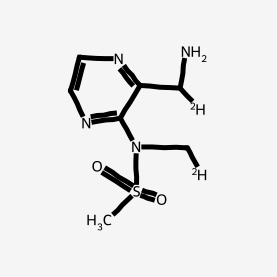 [2H]CN(c1nccnc1C([2H])N)S(C)(=O)=O